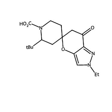 CCn1cc2c(n1)C(=O)CC1(CCN(C(=O)O)C(C(C)(C)C)C1)O2